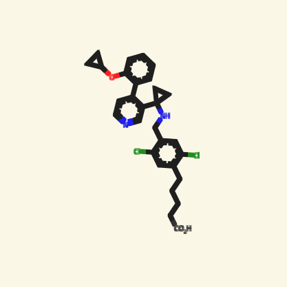 O=C(O)CCCCc1cc(Cl)c(CNC2(c3cnccc3-c3ccccc3OC3CC3)CC2)cc1Cl